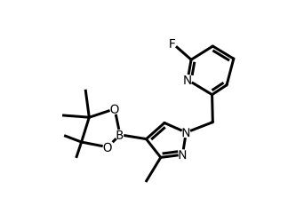 Cc1nn(Cc2cccc(F)n2)cc1B1OC(C)(C)C(C)(C)O1